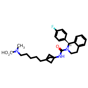 CN(CCCCCC12CC(NC(=O)N3CCc4ccccc4[C@@H]3c3ccc(F)cc3)(C1)C2)C(=O)O